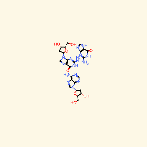 Nc1nc2c(ncn2[C@H]2C[C@H](O)[C@@H](CO)O2)c(=O)[nH]1.Nc1nc2nc[nH]c2c(=O)[nH]1.Nc1ncnc2c1ncn2[C@H]1C[C@H](O)[C@@H](CO)O1